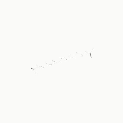 C=C(C)NCCCNCCCNCCCNC(=C)C